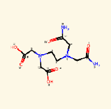 NC(=O)CN(CCN(CC(=O)O)CC(=O)O)CC(N)=O